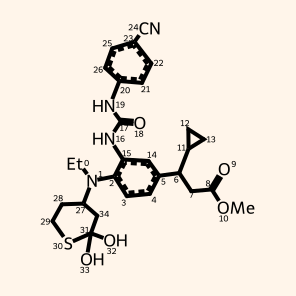 CCN(c1ccc(C(CC(=O)OC)C2CC2)cc1NC(=O)Nc1ccc(C#N)cc1)C1CCSC(O)(O)C1